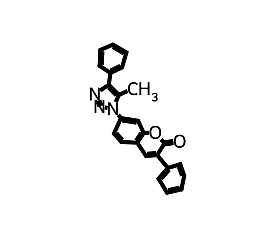 Cc1c(-c2ccccc2)nnn1-c1ccc2cc(-c3ccccc3)c(=O)oc2c1